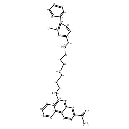 NC(=O)c1ccc2c(c1)nc(NCCCOCCCNCc1ccc(-c3ccccc3)c(Cl)c1)c1ccncc12